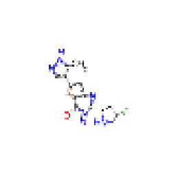 Cc1[nH]ncc1-c1cc2nc([C@@H]3C[C@@H](F)CN3)[nH]c(=O)c2s1